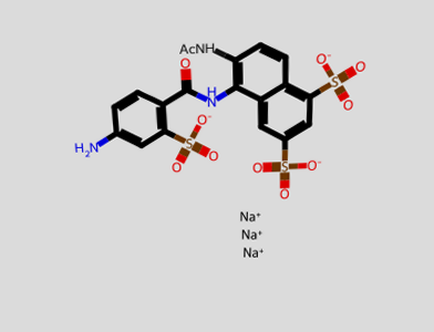 CC(=O)Nc1ccc2c(S(=O)(=O)[O-])cc(S(=O)(=O)[O-])cc2c1NC(=O)c1ccc(N)cc1S(=O)(=O)[O-].[Na+].[Na+].[Na+]